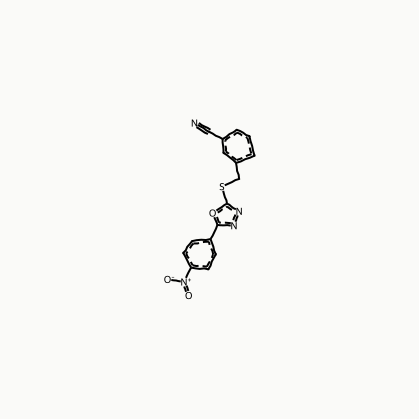 N#Cc1cccc(CSc2nnc(-c3ccc([N+](=O)[O-])cc3)o2)c1